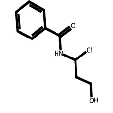 O=C(NC(Cl)CCO)c1ccccc1